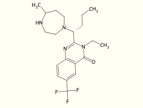 CCC[C@H](c1nc2ccc(C(F)(F)F)cc2c(=O)n1CC)N1CCNC(C)CC1